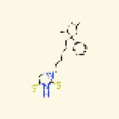 CC(C)CC(CCCCCCn1ccc(=S)[nH]c1=S)(c1ccccc1)C(C)C